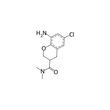 CN(C)C(=O)C1COc2c(N)cc(Cl)cc2C1